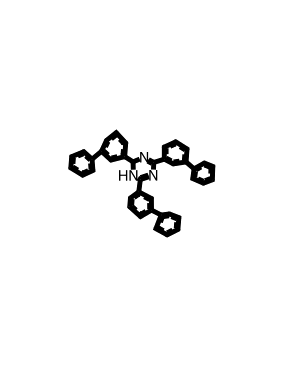 c1ccc(-c2cccc(C3=NC(c4cccc(-c5ccccc5)c4)NC(c4cccc(-c5ccccc5)c4)=N3)c2)cc1